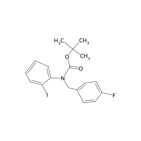 CC(C)(C)OC(=O)N(Cc1ccc(F)cc1)c1ccccc1I